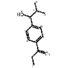 CCC(=O)c1ccc(C(O)C(C)C)cc1